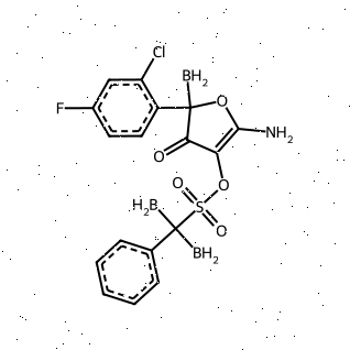 BC1(c2ccc(F)cc2Cl)OC(N)=C(OS(=O)(=O)C(B)(B)c2ccccc2)C1=O